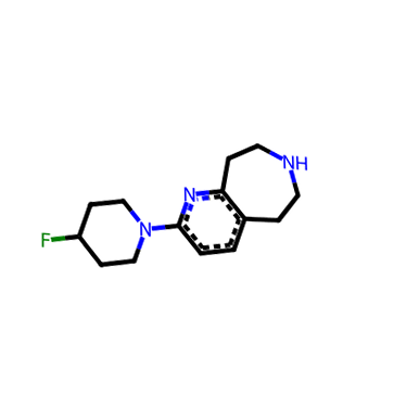 FC1CCN(c2ccc3c(n2)CCNCC3)CC1